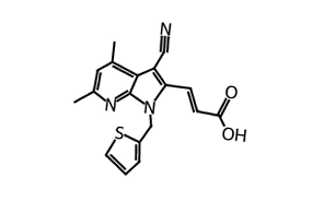 Cc1cc(C)c2c(C#N)c(/C=C/C(=O)O)n(Cc3cccs3)c2n1